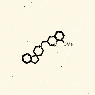 COc1cccc2c1N=CC(CN1CCC3(CCc4ccccc43)CC1)C2